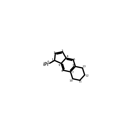 CC(C)[C]1C=Cc2cc3c(cc21)CCCC3